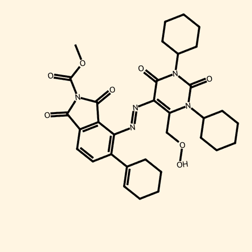 COC(=O)N1C(=O)c2ccc(C3=CCCCC3)c(N=Nc3c(COO)n(C4CCCCC4)c(=O)n(C4CCCCC4)c3=O)c2C1=O